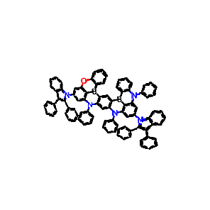 c1ccc(-c2c(-c3ccccc3)n(-c3cc4c5c(c3)N(c3ccccc3)c3cc6c(cc3B5c3ccccc3O4)B3c4ccccc4N(c4ccccc4)c4cc(-n5c(-c7ccccc7)c(-c7ccccc7)c7ccccc75)cc(c43)N6c3ccccc3)c3ccccc23)cc1